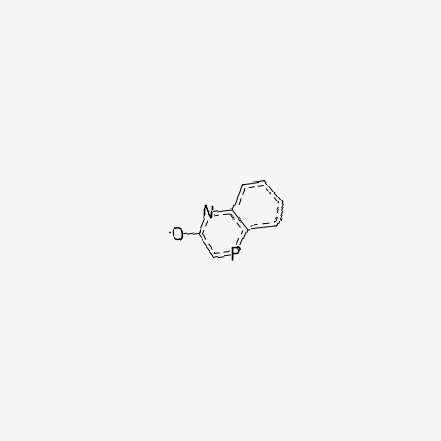 [O]c1cpc2ccccc2n1